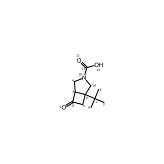 CC(C)(C)C12CC(=O)C1CN(C(=O)O)C2